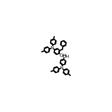 Cc1ccc(N(c2ccc(C)cc2)c2ccc(O)c(Cc3ccccc3)c2)cc1.Cc1ccc(N(c2ccc(C)cc2)c2ccc(O)cc2)cc1